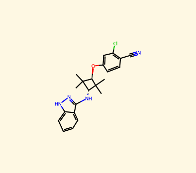 CC1(C)[C@H](Nc2n[nH]c3ccccc23)C(C)(C)[C@H]1Oc1ccc(C#N)c(Cl)c1